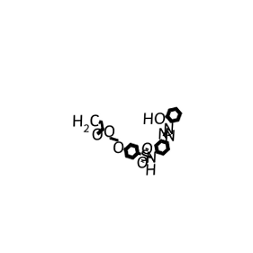 C=CC(=O)OCCOc1ccc(S(=O)(=O)Nc2ccc3c(c2)n2n(-c4ccccc4O)n32)cc1